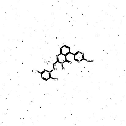 COc1ncc(-c2cccc3nc([C@@H](C)Nc4nc(N)ncc4C#N)n(C(C)C)c(=O)c23)cn1